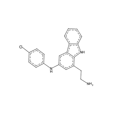 NCCc1cc(Nc2ccc(Cl)cc2)cc2c1[nH]c1ccccc12